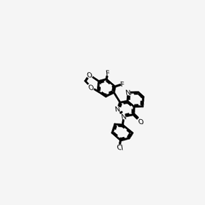 O=c1c2cccnc2c(-c2cc3c(c(F)c2F)OCO3)nn1-c1ccc(Cl)cc1